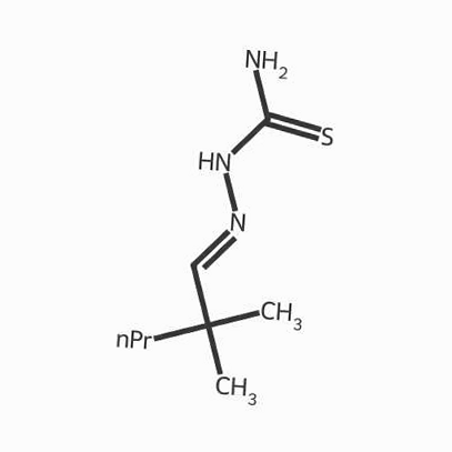 CCCC(C)(C)C=NNC(N)=S